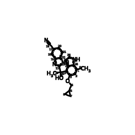 Cc1cc(OCC2CC2)c(C(C)(O)c2nc3cc(C#N)ccc3[nH]2)c2cc[nH]c12